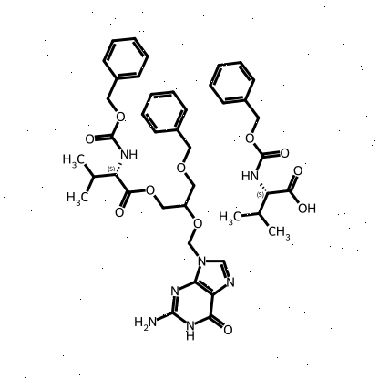 CC(C)[C@H](NC(=O)OCc1ccccc1)C(=O)O.CC(C)[C@H](NC(=O)OCc1ccccc1)C(=O)OCC(COCc1ccccc1)OCn1cnc2c(=O)[nH]c(N)nc21